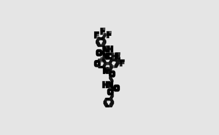 CN(C(=O)Nc1ccc(F)c(C(F)F)c1)[C@@H]1COCc2nc(OCCNC(=O)OCc3ccccc3)c3cc(F)c(F)cc3c21